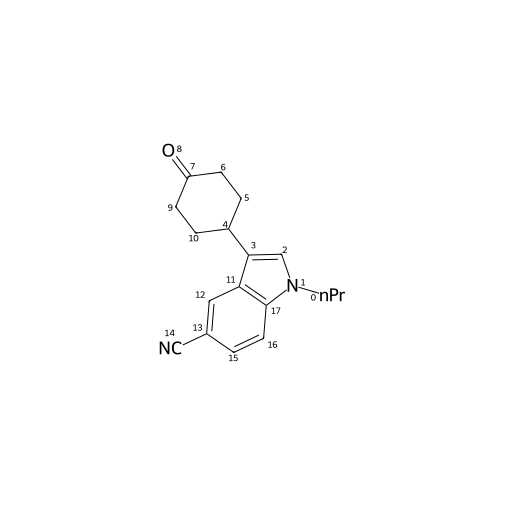 CCCn1cc(C2CCC(=O)CC2)c2cc(C#N)ccc21